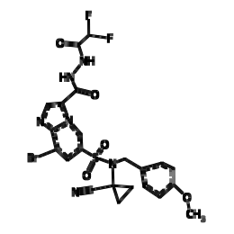 COc1ccc(CN(C2(C#N)CC2)S(=O)(=O)c2cc(Br)c3ncc(C(=O)NNC(=O)C(F)F)n3c2)cc1